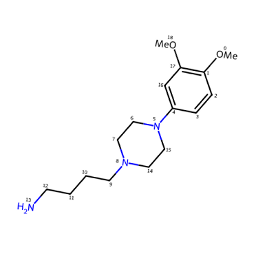 COc1ccc(N2CCN(CCCCN)CC2)cc1OC